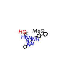 COc1ccccc1-c1ccc(CNc2nc(NCC(C)(C)O)nc3c2ncn3C2CCCC2)cc1